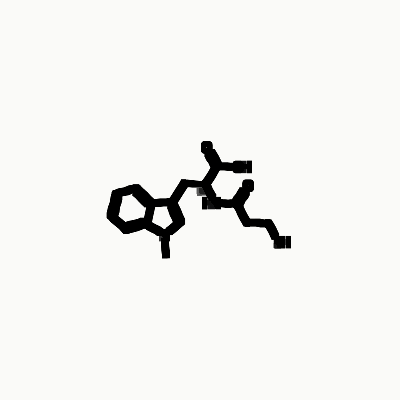 Cn1cc(C[C@H](NC(=O)CCS)C(=O)O)c2ccccc21